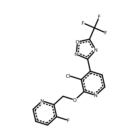 Fc1cccnc1COc1nccc(-c2noc(C(F)(F)F)n2)c1Cl